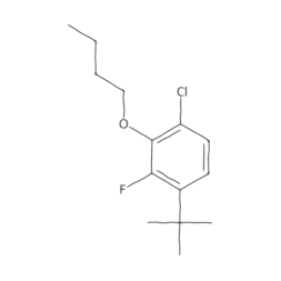 CCCCOc1c(Cl)ccc(C(C)(C)C)c1F